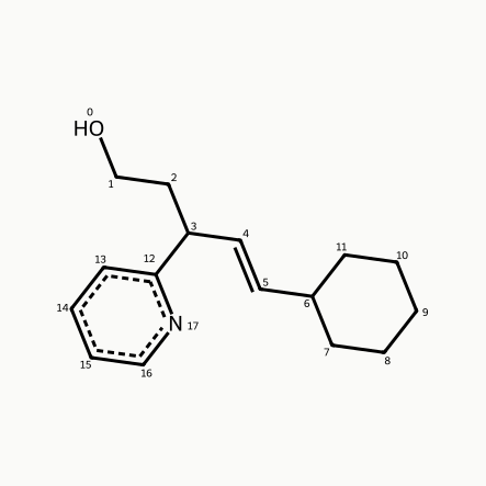 OCCC(C=CC1CCCCC1)c1ccccn1